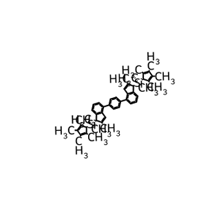 CC1=Cc2c(-c3ccc(-c4cccc5c4C=C(C)C5[Si](C)(C)C4C(C)=C(C)C(C)=C4C)cc3)cccc2C1[Si](C)(C)C1C(C)=C(C)C(C)=C1C